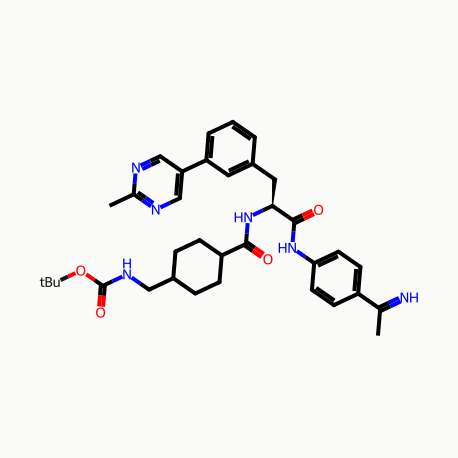 CC(=N)c1ccc(NC(=O)[C@H](Cc2cccc(-c3cnc(C)nc3)c2)NC(=O)C2CCC(CNC(=O)OC(C)(C)C)CC2)cc1